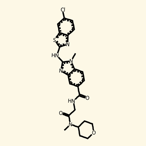 CN(C(=O)CNC(=O)c1ccc2c(c1)nc(Nc1nc3ccc(Cl)cc3s1)n2C)C1CCOCC1